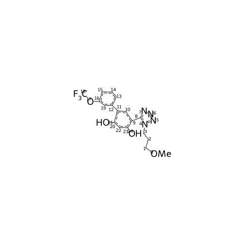 COCCCn1nnnc1-c1cc(-c2cccc(OC(F)(F)F)c2)c(O)cc1O